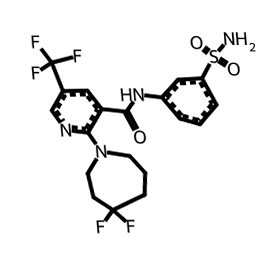 NS(=O)(=O)c1cccc(NC(=O)c2cc(C(F)(F)F)cnc2N2CCCC(F)(F)CC2)c1